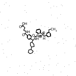 CCc1cccc(NS(=O)(=O)c2ccccc2NC(=O)NC(c2ccc(C(=O)NCCC(=O)O)cc2)C2CCC(C3CCCCC3)CC2)c1